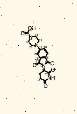 O=C1CCC(N2C(=O)c3ccc(N4CCN(C(=O)O)CC4)cc3C2=O)C(=O)N1